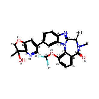 CC[C@@H]1c2nc3ccc(-c4cnc5c(c4)OCC5(C)O)cc3n2-c2c(OC(F)F)cccc2C(=O)N1C